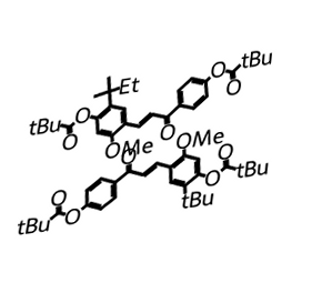 CCC(C)(C)c1cc(/C=C/C(=O)c2ccc(OC(=O)C(C)(C)C)cc2)c(OC)cc1OC(=O)C(C)(C)C.COc1cc(OC(=O)C(C)(C)C)c(C(C)(C)C)cc1/C=C/C(=O)c1ccc(OC(=O)C(C)(C)C)cc1